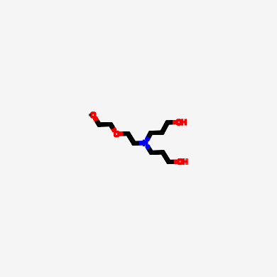 [O]CCOCCN(CCCO)CCCO